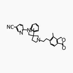 Cc1c(CCN2CCC(CNc3ccc(C#N)cn3)(c3ccccc3)C2)ccc2c1COC2=O